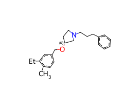 CCc1cc(CO[C@@H]2CCN(CCCc3ccccc3)C2)ccc1C